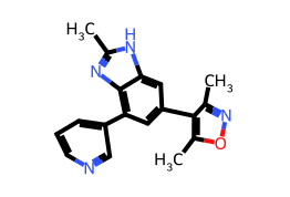 Cc1nc2c(-c3cccnc3)cc(-c3c(C)noc3C)cc2[nH]1